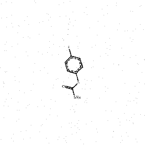 CSC(=O)Sc1ccc(F)cc1